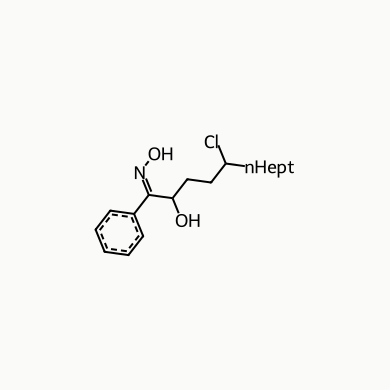 CCCCCCCC(Cl)CCC(O)C(=NO)c1ccccc1